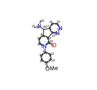 COc1ccc(-n2ccc3c(c2=O)-c2nnccc2C3N(C)C)cc1